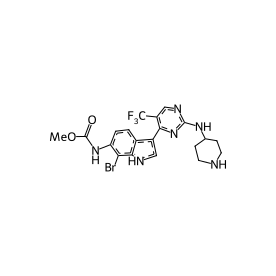 COC(=O)Nc1ccc2c(-c3nc(NC4CCNCC4)ncc3C(F)(F)F)c[nH]c2c1Br